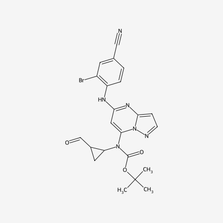 CC(C)(C)OC(=O)N(c1cc(Nc2ccc(C#N)cc2Br)nc2ccnn12)C1CC1C=O